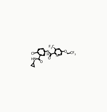 O=C(NC1CC1)c1cc(NC(=O)c2ncc(OCC(F)(F)F)cc2C(F)(F)F)ccc1Cl